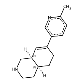 Cc1ccc(C2=C[C@@H]3CNCC[C@@H]3CC2)cn1